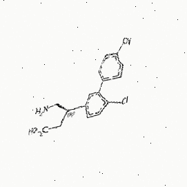 N#Cc1ccc(-c2cc([C@H](CN)CC(=O)O)ccc2Cl)cc1